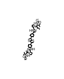 CC/C=C(\C(NC(=O)OC)C(C)C)N1CC=CC1c1ncc(-c2ccc(C3CSc4c(-c5ccc6nc(C7CCCN7C(=O)C(NC(=O)OC)C(C)C)[nH]c6c5)csc43)cc2)[nH]1